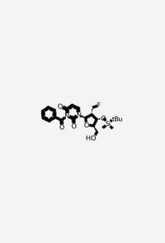 CC(C)(C)[Si](C)(C)O[C@H]1[C@@H](CF)[C@H](n2ccc(=O)n(C(=O)c3ccccc3)c2=O)O[C@@H]1CO